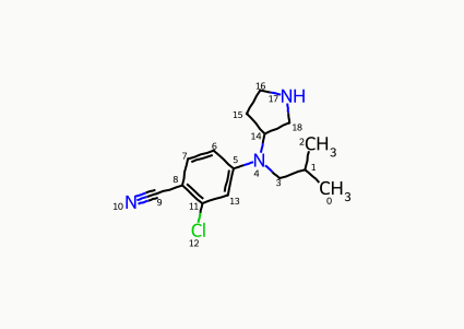 CC(C)CN(c1ccc(C#N)c(Cl)c1)C1CCNC1